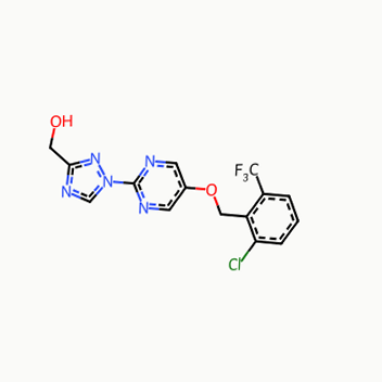 OCc1ncn(-c2ncc(OCc3c(Cl)cccc3C(F)(F)F)cn2)n1